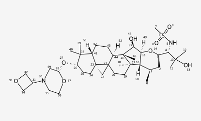 C[C@@H]1C[C@H]([C@H](NS(C)(=O)=O)C(C)(C)O)O[C@H]2[C@H]1[C@@]1(C)CCC34C[C@@]35CC[C@H](O[C@H]3CN(C6COC6)CCO3)C(C)(C)[C@@H]5CC[C@H]4[C@]1(C)[C@H]2O